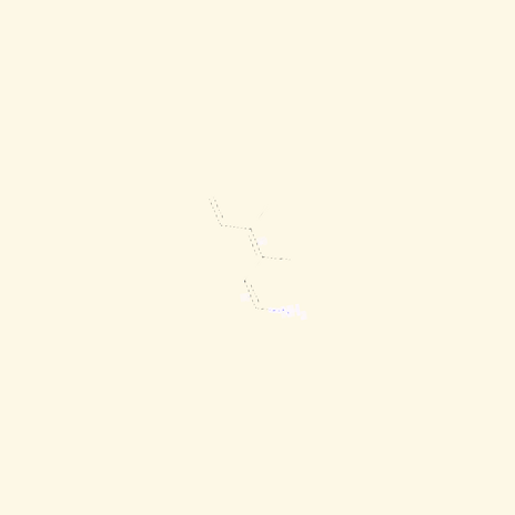 C=C/C(C)=C(C)\C=C/N